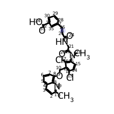 Cc1ccc2cccc(OCc3c(Cl)ccc(N(C)C(=O)CNC(=O)/C=C/c4cccc(C(=O)O)c4)c3Cl)c2n1